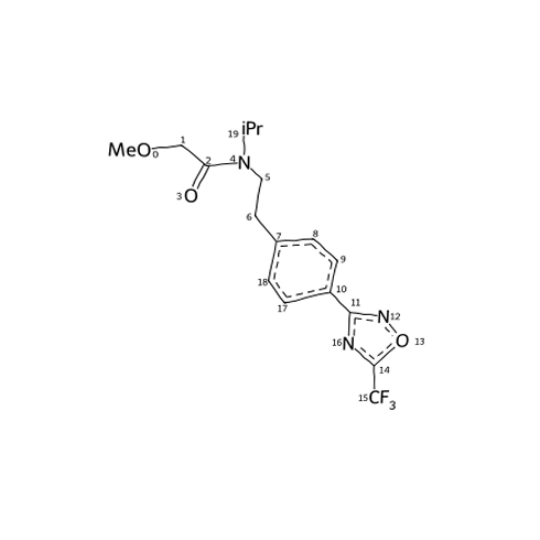 COCC(=O)N(CCc1ccc(-c2noc(C(F)(F)F)n2)cc1)C(C)C